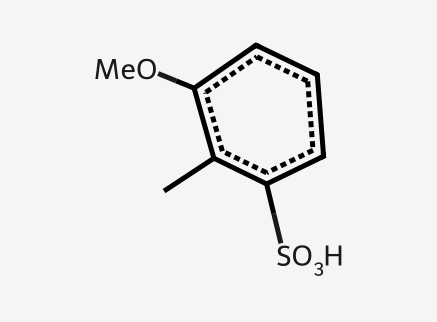 COc1cccc(S(=O)(=O)O)c1C